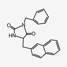 O=C1NC(Cc2ccc3ccccc3c2)C(=O)N1Cc1ccccc1